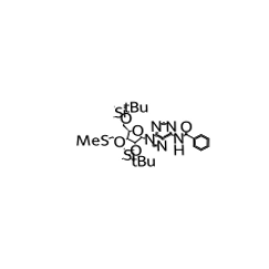 CSCO[C@H]1[C@@H](O[Si](C)(C)C(C)(C)C)[C@H](n2cnc3c(NC(=O)c4ccccc4)ncnc32)O[C@@H]1CO[Si](C)(C)C(C)(C)C